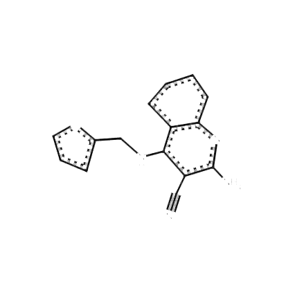 N#Cc1c(N)nc2ccccc2c1NCc1ccco1